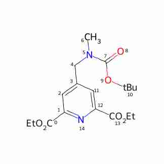 CCOC(=O)c1cc(CN(C)C(=O)OC(C)(C)C)cc(C(=O)OCC)n1